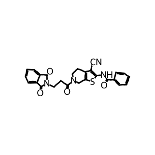 N#Cc1c(NC(=O)c2ccccc2)sc2c1CCN(C(=O)CCN1C(=O)c3ccccc3C1=O)C2